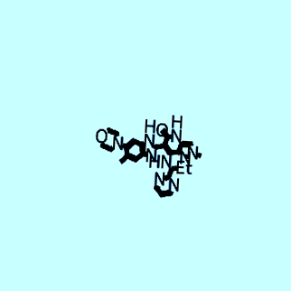 CCC(Nc1c(-c2nc3cc(C)c(N4CCOCC4)cc3[nH]2)c(=O)[nH]c2cn(C)nc12)c1ncccn1